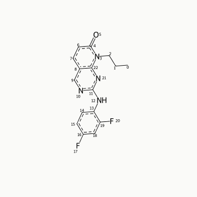 CCCn1c(=O)ccc2cnc(Nc3ccc(F)cc3F)nc21